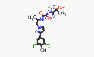 CC(Cn1ccc(-c2cc(F)c(C#N)c(Cl)c2)n1)NC(=O)c1nc(C(C)(C)O)no1